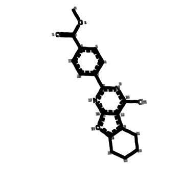 COC(=O)c1ccc(-c2nc(Cl)c3c4c(oc3n2)CCCC4)cc1